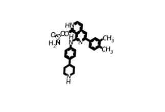 Cc1ccc(-c2cc3cc[nH]c(=O)c3c(Nc3ccc(C4CCNCC4)cc3)n2)cc1C.N[SH](=O)=O